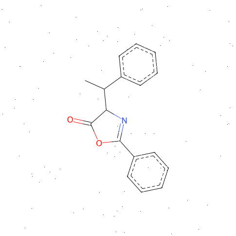 CC(c1ccccc1)C1N=C(c2ccccc2)OC1=O